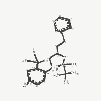 CC(C)(C)[Si](C)(C)O[C@H](CCc1cccnc1)COc1ccc(Br)cc1C(F)(F)F